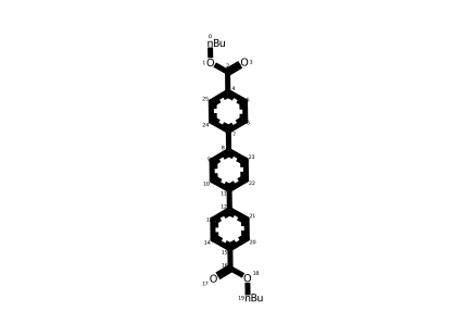 CCCCOC(=O)c1ccc(-c2ccc(-c3ccc(C(=O)OCCCC)cc3)cc2)cc1